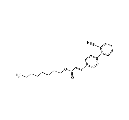 CCCCCCCCOC(=O)C=Cc1ccc(-c2ccccc2C#N)cc1